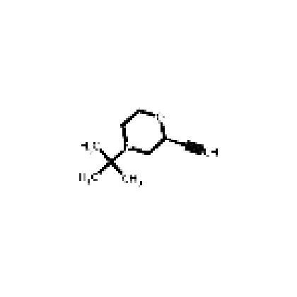 C#C[C@H]1CN(C(C)(C)C)CCO1